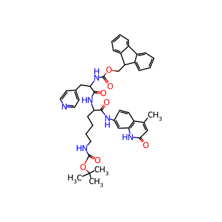 Cc1cc(=O)[nH]c2cc(NC(=O)C(CCCCNC(=O)OC(C)(C)C)NC(=O)C(Cc3ccncc3)NC(=O)OCC3c4ccccc4-c4ccccc43)ccc12